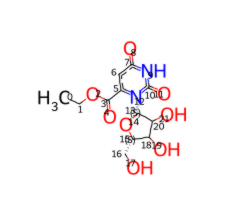 CCOC(=O)c1cc(=O)[nH]c(=O)n1[C@H]1O[C@@H](CO)C(O)C1O